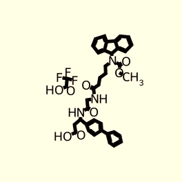 COC(=O)N(CCCCC(=O)NCC(=O)NC(CC(=O)O)c1ccc(-c2ccccc2)cc1)C1c2ccccc2-c2ccccc21.O=C(O)C(F)(F)F